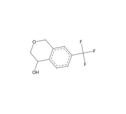 OC1COCc2cc(C(F)(F)F)ccc21